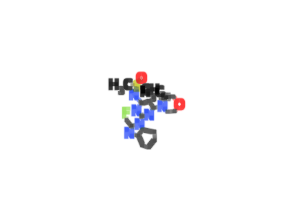 C[C@@H]1COCCN1c1cc(N=S(C)(C)=O)nc(-n2c(CF)nc3ccccc32)n1